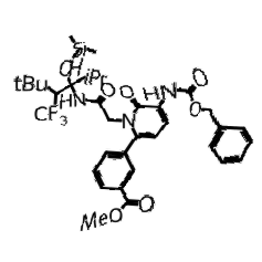 COC(=O)c1cccc(-c2ccc(NC(=O)OCc3ccccc3)c(=O)n2CC(=O)NC(O[SiH](C)C)(C(C)C)C(C(C)(C)C)C(F)(F)F)c1